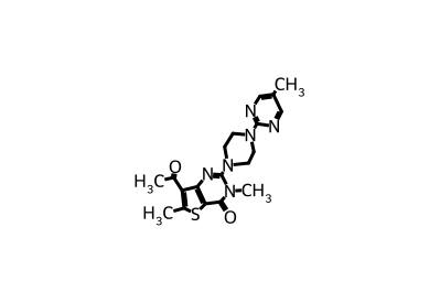 CC(=O)c1c(C)sc2c(=O)n(C)c(N3CCN(c4ncc(C)cn4)CC3)nc12